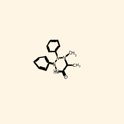 CC1C(=O)NN(c2ccccc2)N(c2ccccc2)N1C